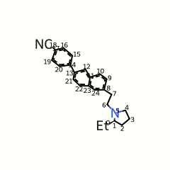 CC[C@@H]1CCCN1CCc1ccc2cc(-c3ccc(C#N)cc3)ccc2c1